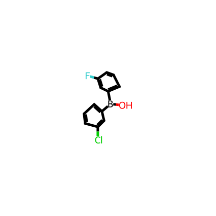 OB(c1cccc(F)c1)c1cccc(Cl)c1